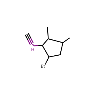 C#[PH]C1C(CC)CC(C)C1C